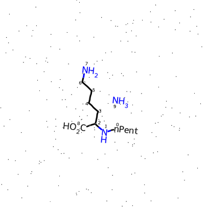 CCCCCNC(CCCCN)C(=O)O.N